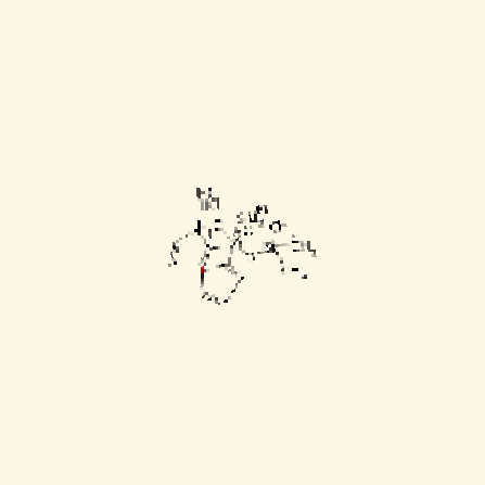 CC[O][Zr]([CH3])(=[SiH2])([O][Si](C)(C)C)([C]1=CC=CC1)[C]1=CC=CC1.Cl.Cl